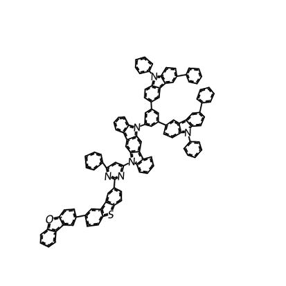 c1ccc(-c2ccc3c(c2)c2cc(-c4cc(-c5ccc6c(c5)c5cc(-c7ccccc7)ccc5n6-c5ccccc5)cc(-n5c6ccccc6c6cc7c(cc65)c5ccccc5n7-c5cc(-c6ccccc6)nc(-c6ccc7sc8ccc(-c9ccc%10oc%11ccccc%11c%10c9)cc8c7c6)n5)c4)ccc2n3-c2ccccc2)cc1